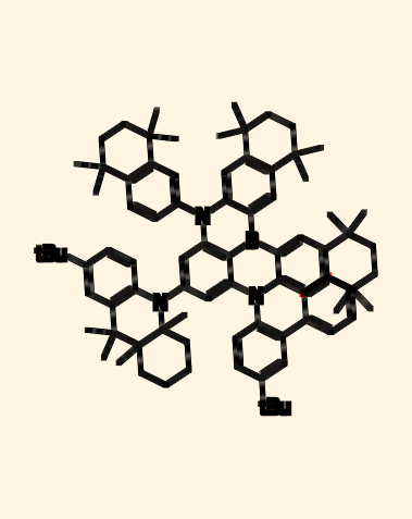 CC(C)(C)c1ccc(N2c3cc4c(cc3B3c5cc6c(cc5N(c5ccc7c(c5)C(C)(C)CCC7(C)C)c5cc(N7c8ccc(C(C)(C)C)cc8C(C)(C)C8(C)CCCCC78C)cc2c53)C(C)(C)CCC6(C)C)C(C)(C)CCC4(C)C)c(-c2ccccc2)c1